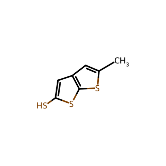 Cc1cc2cc(S)sc2s1